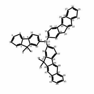 CC1(C)c2ccccc2-c2ccc(N(c3ccc4c(c3)Cc3cc5ccccc5cc3-4)c3ccc4c(c3)C(C)(C)c3cc5ccccc5cc3-4)cc21